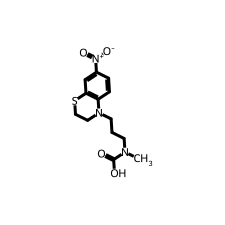 CN(CCCN1CCSc2cc([N+](=O)[O-])ccc21)C(=O)O